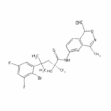 CC1=NOC(C=O)c2ccc(NC(=O)C(O)(CC(C)(C)c3cc(F)cc(F)c3Br)C(F)(F)F)cc21